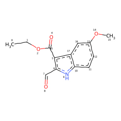 CCOC(=O)c1c(C=O)[nH]c2ccc(OC)cc12